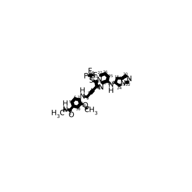 CNC(=O)c1ccc(NCC#Cc2nc3c(N[C@@H]4Cc5cncn5C4)cccn3c2SC(F)(F)F)c(OC)c1